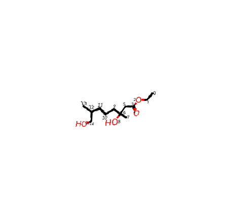 CCOC(=O)CC(C)(O)CCCC(C)CO